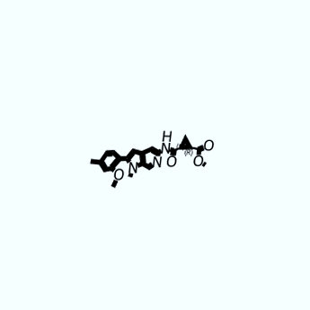 COC(=O)[C@@H]1C[C@@H]1C(=O)Nc1cc2cc(-c3ccc(C)cc3OC)n(C)c2cn1